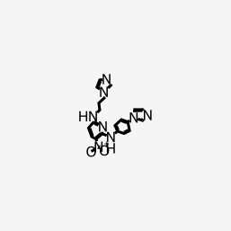 O=[N+]([O-])c1ccc(NCCCn2ccnc2)nc1Nc1ccc(-n2ccnc2)cc1